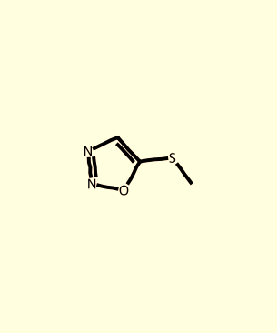 CSc1cnno1